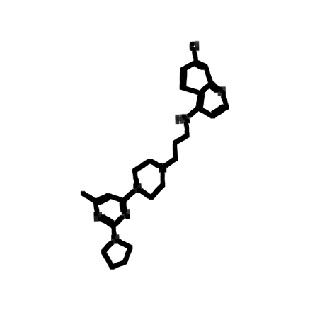 Cc1cc(N2CCN(CCCNc3ccnc4cc(Cl)ccc34)CC2)nc(N2CCCC2)n1